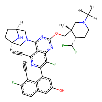 [2H]C([2H])([2H])N1CC[C@H](C(F)F)[C@](C)(COc2nc(N3C[C@H]4CC[C@@H](C3)N4)c3c(C#C)nc(-c4cc(O)cc5ccc(F)c(C#C)c45)c(F)c3n2)C1